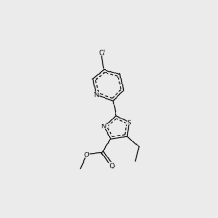 CCc1sc(-c2ccc(Cl)cn2)nc1C(=O)OC